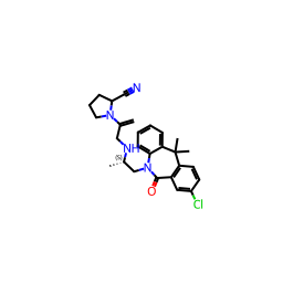 C=C(CN[C@@H](C)CN1C(=O)c2cc(Cl)ccc2C(C)(C)c2ccccc21)N1CCCC1C#N